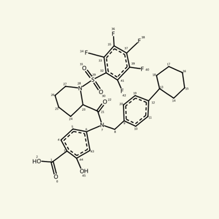 O=C(O)c1ccc(N(Cc2ccc(C3CCCCC3)cc2)C(=O)C2CCCCN2S(=O)(=O)c2c(F)c(F)c(F)c(F)c2F)cc1O